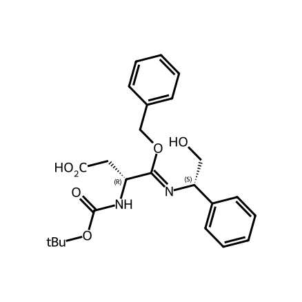 CC(C)(C)OC(=O)N[C@H](CC(=O)O)C(=N[C@H](CO)c1ccccc1)OCc1ccccc1